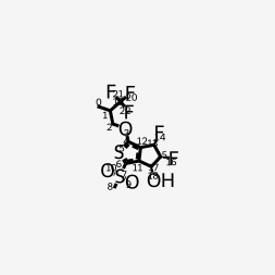 CC(COc1sc(S(C)(=O)=O)c2c1[C@@H](F)[C@@H](F)[C@H]2O)C(F)(F)F